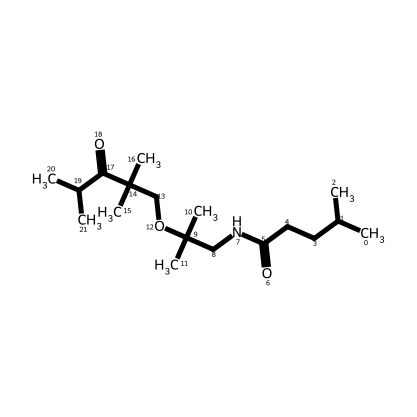 CC(C)CCC(=O)NCC(C)(C)OCC(C)(C)C(=O)C(C)C